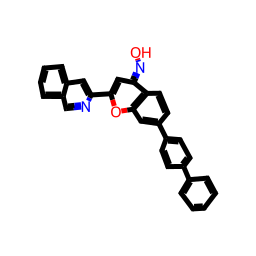 ON=c1cc(-c2cc3ccccc3cn2)oc2cc(-c3ccc(-c4ccccc4)cc3)ccc12